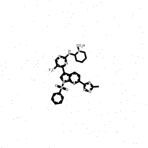 Cc1nc(-c2ccc3c(-c4nc(NC5CCCCN5C(=O)O)ncc4C(F)(F)F)cn(S(=O)(=O)c4ccccc4)c3n2)no1